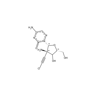 Nc1cnn([C@@H]2O[C@H](CO)C(O)[C@]2(N)C#CCl)c(=O)n1